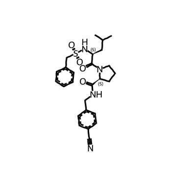 CC(C)C[C@H](NS(=O)(=O)Cc1ccccc1)C(=O)N1CCC[C@H]1C(=O)NCc1ccc(C#N)cc1